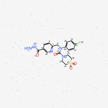 NNC(=O)c1ccc(CN(C(=O)N2CCS(=O)(=O)CC2)c2ccc(F)cc2)nc1